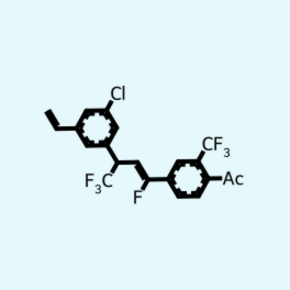 C=Cc1cc(Cl)cc(C(/C=C(\F)c2ccc(C(C)=O)c(C(F)(F)F)c2)C(F)(F)F)c1